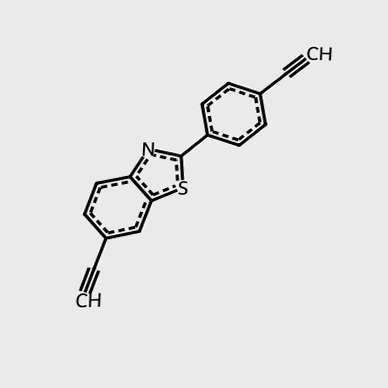 C#Cc1ccc(-c2nc3ccc(C#C)cc3s2)cc1